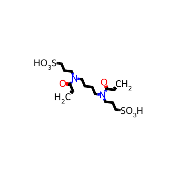 C=CC(=O)N(CCCCN(CCCS(=O)(=O)O)C(=O)C=C)CCCS(=O)(=O)O